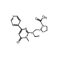 CCN(C[C@@H]1CCCN1C(=O)O)c1nc(-c2ccncn2)cc(=O)n1C